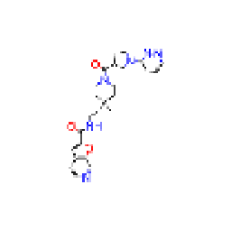 O=C(NCC1CC12CCN(C(=O)C1CCN(c3cccnn3)C1)CC2)c1cc2ccncc2o1